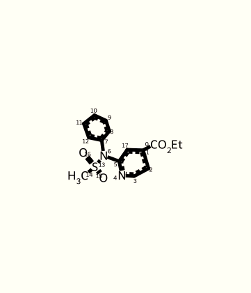 CCOC(=O)c1ccnc(N(c2ccccc2)S(C)(=O)=O)c1